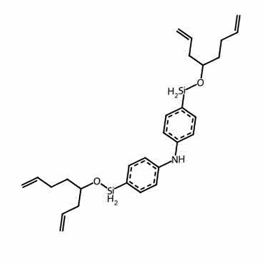 C=CCCC(CC=C)O[SiH2]c1ccc(Nc2ccc([SiH2]OC(CC=C)CCC=C)cc2)cc1